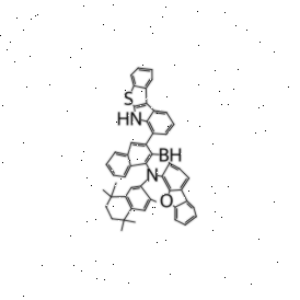 Cc1cc2c(cc1N1c3c(c(-c4cccc5c4[nH]c4sc6ccccc6c45)cc4ccccc34)Bc3ccc4c(oc5ccccc54)c31)C(C)(C)CCC2(C)C